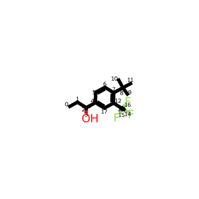 CC[C](O)c1ccc(C(C)(C)C)c(C(F)(F)F)c1